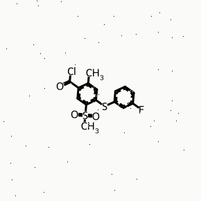 Cc1cc(Sc2cccc(F)c2)c(S(C)(=O)=O)cc1C(=O)Cl